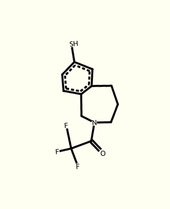 O=C(N1CCCc2cc(S)ccc2C1)C(F)(F)F